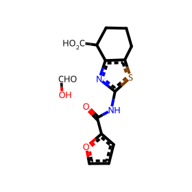 O=C(Nc1nc2c(s1)CCCC2C(=O)O)c1ccco1.O=CO